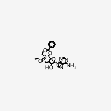 CCOP(CC1C(O)[C@H](n2cnc3c(N)ncnc32)O[C@@H]1COC(=O)c1ccccc1)OCC